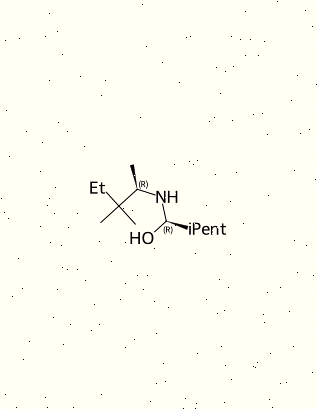 CCCC(C)[C@@H](O)N[C@H](C)C(C)(C)CC